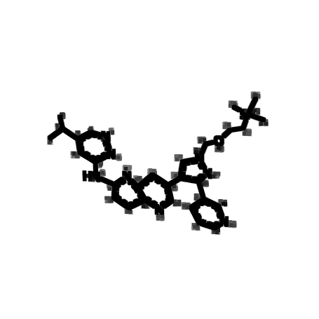 CC(C)c1cnnc(Nc2ccc3ncc(-c4cn(COCC[Si](C)(C)C)nc4-c4cccnc4)cc3n2)c1